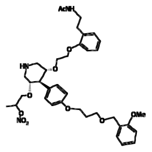 COc1ccccc1COCCCOc1ccc([C@@H]2[C@@H](OCCOc3ccccc3CCNC(C)=O)CNC[C@H]2OCC(C)O[N+](=O)[O-])cc1